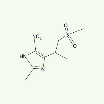 Cc1nc(C(C)CS(C)(=O)=O)c([N+](=O)[O-])[nH]1